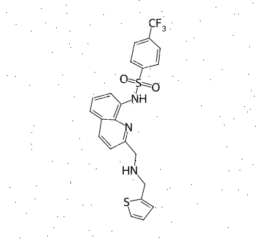 O=S(=O)(Nc1cccc2ccc(CNCc3cccs3)nc12)c1ccc(C(F)(F)F)cc1